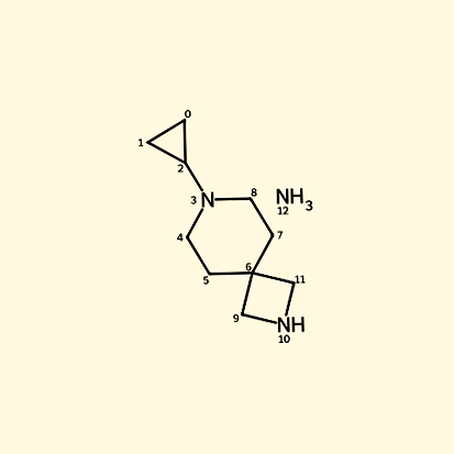 C1CC1N1CCC2(CC1)CNC2.N